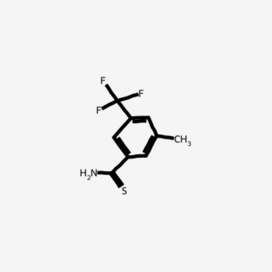 Cc1cc(C(N)=S)cc(C(F)(F)F)c1